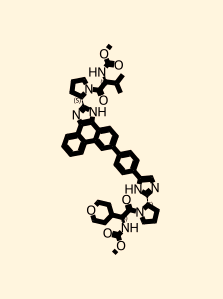 COC(=O)N[C@H](C(=O)N1CCC[C@H]1c1nc2c3ccccc3c3cc(-c4ccc(-c5cnc([C@@H]6CCCN6C(=O)[C@@H](NC(=O)OC)C6CCOCC6)[nH]5)cc4)ccc3c2[nH]1)C(C)C